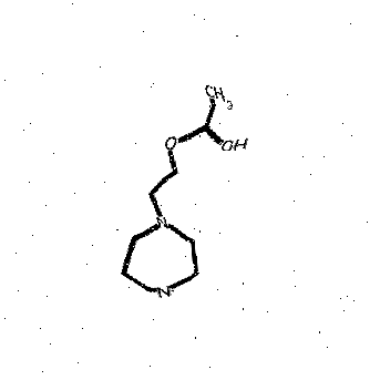 CC(O)OCCN1CC[N]CC1